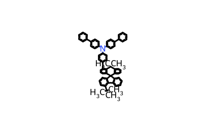 CC(C)(C)c1cccc2c1-c1ccccc1C21c2ccccc2C(C)(C)c2c(-c3ccc(N(c4ccc(-c5ccccc5)cc4)c4ccc(-c5ccccc5)cc4)cc3)cccc21